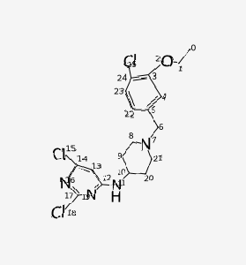 CCOc1cc(CN2CCC(Nc3cc(Cl)nc(Cl)n3)CC2)ccc1Cl